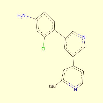 CC(C)(C)c1cc(-c2cncc(-c3ccc(N)cc3Cl)c2)ccn1